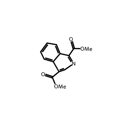 COC(=O)c1cnc(C(=O)OC)c2ccccc12